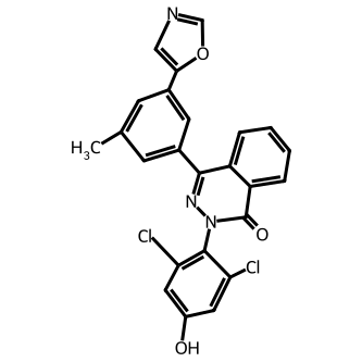 Cc1cc(-c2cnco2)cc(-c2nn(-c3c(Cl)cc(O)cc3Cl)c(=O)c3ccccc23)c1